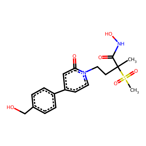 CC(CCn1ccc(-c2ccc(CO)cc2)cc1=O)(C(=O)NO)S(C)(=O)=O